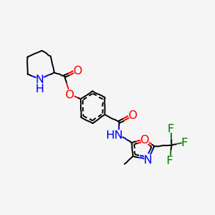 Cc1nc(C(F)(F)F)oc1NC(=O)c1ccc(OC(=O)C2CCCCN2)cc1